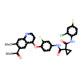 CNC(=O)c1cc2c(Oc3ccc(NC(=O)C4(C(=O)Nc5ccc(F)cc5Cl)CC4)cc3F)ccnc2cc1OC